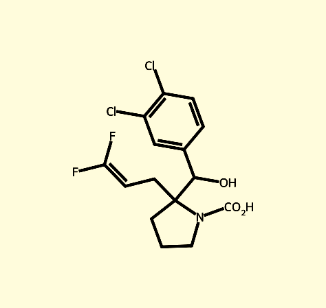 O=C(O)N1CCCC1(CC=C(F)F)C(O)c1ccc(Cl)c(Cl)c1